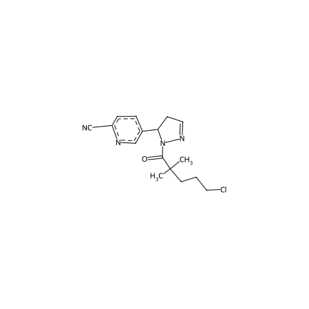 CC(C)(CCCCl)C(=O)N1N=CCC1c1ccc(C#N)nc1